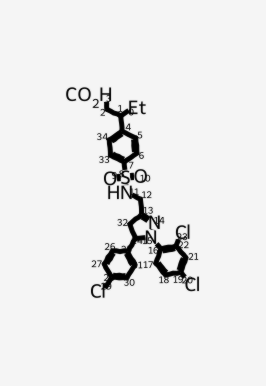 CCC(CC(=O)O)c1ccc(S(=O)(=O)NCC2=NN(c3ccc(Cl)cc3Cl)C(c3ccc(Cl)cc3)C2)cc1